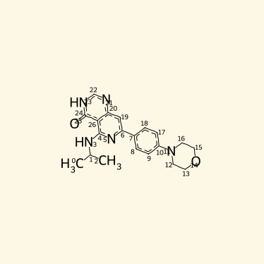 CC(C)Nc1nc(-c2ccc(N3CCOCC3)cc2)cc2nc[nH]c(=O)c12